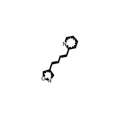 C(/C=C/c1ccccn1)=C\c1cnoc1